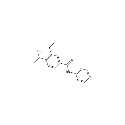 CCc1cc(C(=O)Nc2ccncc2)ccc1C(C)N